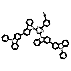 N#Cc1cccc(-c2nc(-n3c4ccccc4c4cc(-c5ccc6c(c5)c5ccccc5n6-c5ccccc5)ccc43)nc(-n3c4ccccc4c4cc(-c5ccc6c(c5)c5ccccc5n6-c5ccccc5)ccc43)n2)c1